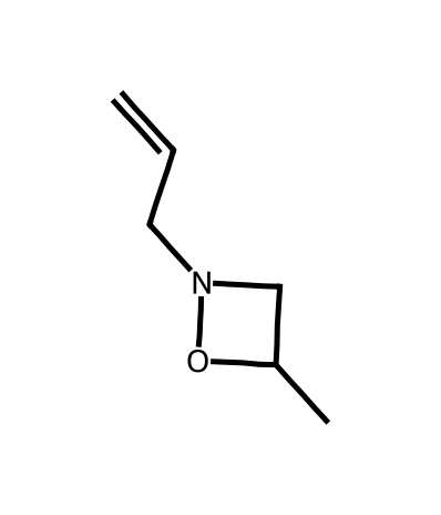 C=CCN1CC(C)O1